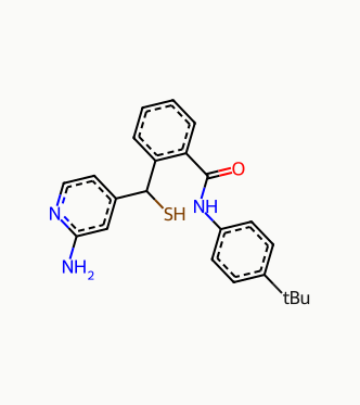 CC(C)(C)c1ccc(NC(=O)c2ccccc2C(S)c2ccnc(N)c2)cc1